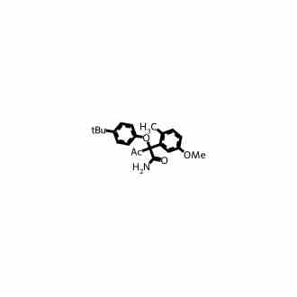 COc1ccc(C)c(C(Oc2ccc(C(C)(C)C)cc2)(C(C)=O)C(N)=O)c1